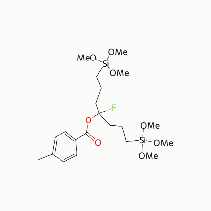 CO[Si](CCCC(F)(CCC[Si](OC)(OC)OC)OC(=O)c1ccc(C)cc1)(OC)OC